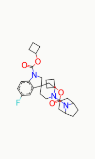 O=C(OC1CCC1)N1CC2(CCN(C3CC4CCC(C3)N4C(=O)OC3CCC3)CC2)c2cc(F)ccc21